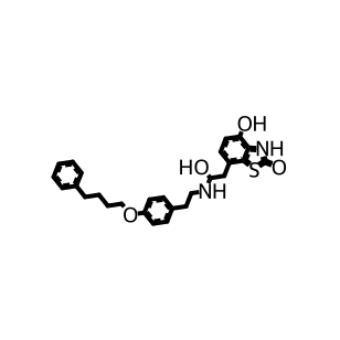 O=c1[nH]c2c(O)ccc(CC(O)NCCc3ccc(OCCCCc4ccccc4)cc3)c2s1